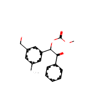 COc1cc(CO)cc(C(OC(=O)OC(C)(C)C)C(=O)c2ccccc2)c1